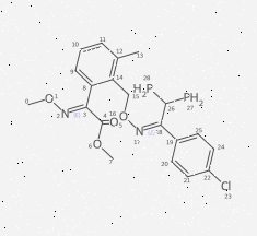 CO/N=C(/C(=O)OC)c1cccc(C)c1CO/N=C(/c1ccc(Cl)cc1)C(P)P